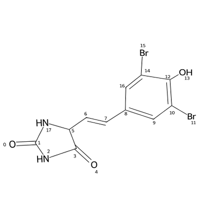 O=C1NC(=O)C(C=Cc2cc(Br)c(O)c(Br)c2)N1